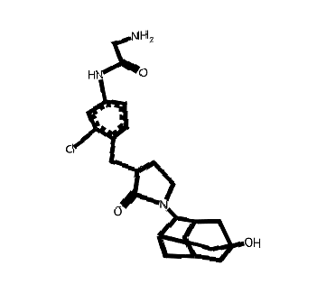 NCC(=O)Nc1ccc(CC2CCN(C3C4CC5CC3CC(O)(C5)C4)C2=O)c(Cl)c1